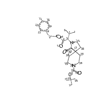 CC(C)C(C(=O)OCc1ccccc1)N1CCC2(CCN(C(=O)OC(C)(C)C)CC2)C1=O